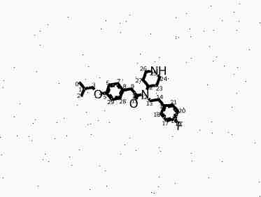 CC(C)COc1ccc(CC(=O)N(CCc2ccc(F)cc2)C2CCNCC2)cc1